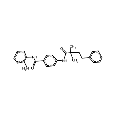 CC(C)(CCc1ccccc1)C(=O)Nc1ccc(C(=O)Nc2ccccc2N)cc1